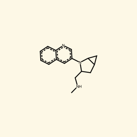 CNCC1CC2CC2N1c1cnc2ccccc2c1